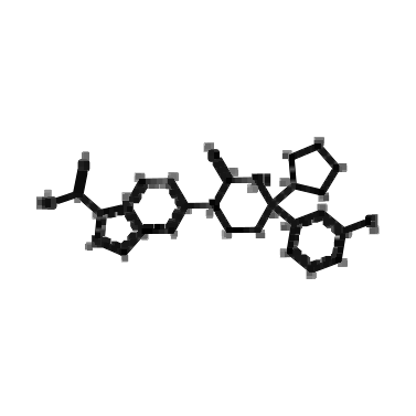 O=C(O)c1ncc2cc(N3CCC(c4cccc(Cl)c4)(C4CCCC4)NC3=O)ccn12